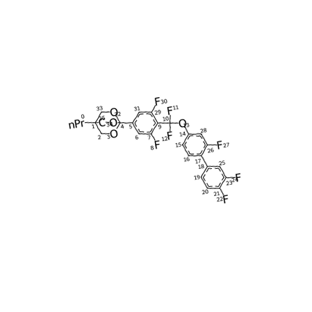 CCCC12COC(c3cc(F)c(C(F)(F)Oc4ccc(-c5ccc(F)c(F)c5)c(F)c4)c(F)c3)(OC1)OC2